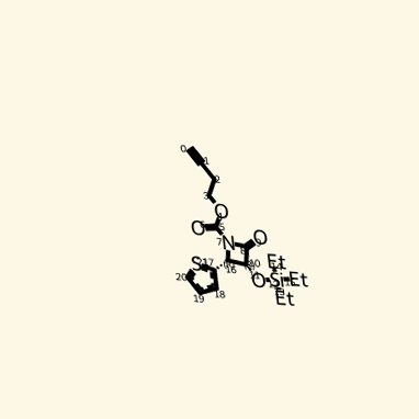 C#CCCOC(=O)N1C(=O)[C@H](O[Si](CC)(CC)CC)[C@@H]1c1cccs1